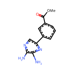 COC(=O)c1cccc(-c2cnc(N)c(N)n2)c1